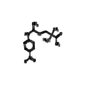 C=C(Nc1ccc([N+](=O)[O-])cc1)OCC(C)(C)C(C)=O